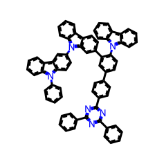 c1ccc(-c2nc(-c3ccccc3)nc(-c3ccc(-c4ccc(-n5c6ccccc6c6ccccc65)c(-c5ccc6c7ccccc7n(-c7ccc8c(c7)c7ccccc7n8-c7ccccc7)c6c5)c4)cc3)n2)cc1